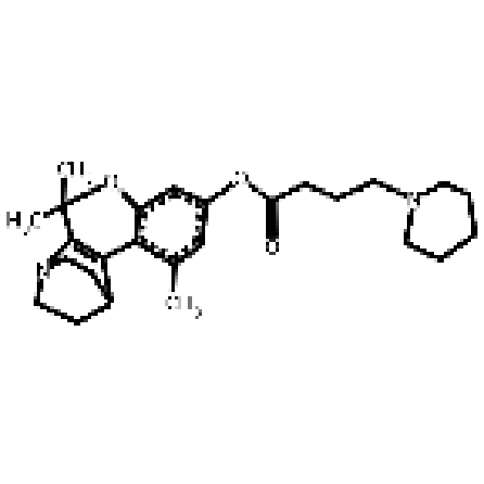 Cc1cc(OC(=O)CCCN2CCCCC2)cc2c1C1=C(N3CCC1CC3)C(C)(C)O2